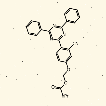 CCCC(=O)OCOc1ccc(-c2nc(-c3ccccc3)nc(-c3ccccc3)n2)c(C#N)c1